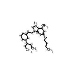 CCCCOc1nc(N)c2c(n1)N(CCC1CCCN(C(CC)CC)C1)CN2